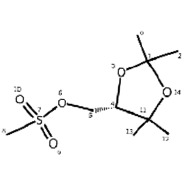 CC1(C)O[C@@H](COS(C)(=O)=O)C(C)(C)O1